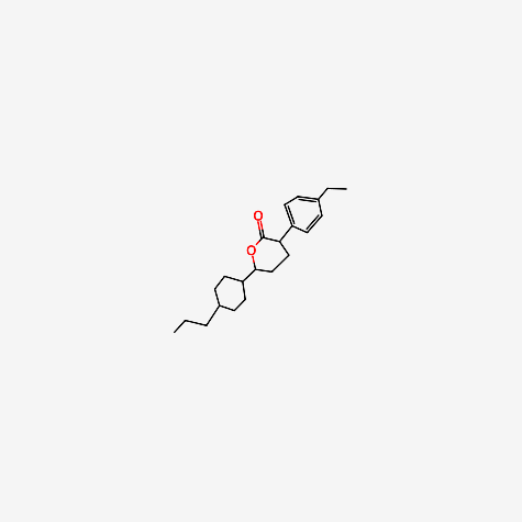 CCCC1CCC(C2CCC(c3ccc(CC)cc3)C(=O)O2)CC1